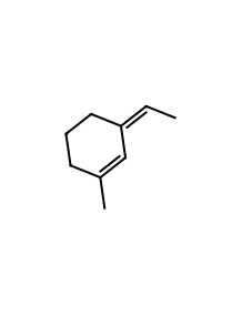 CC=C1C=C(C)CCC1